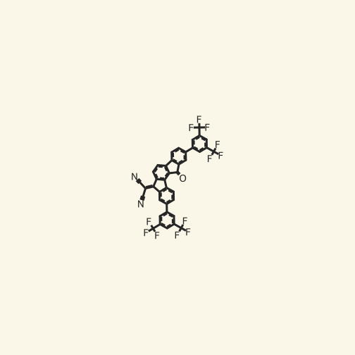 N#CC(C#N)=C1c2cc(-c3cc(C(F)(F)F)cc(C(F)(F)F)c3)ccc2-c2c1ccc1c2C(=O)c2cc(-c3cc(C(F)(F)F)cc(C(F)(F)F)c3)ccc2-1